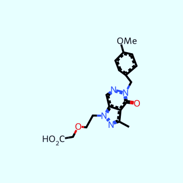 COc1ccc(Cn2ncc3c(c(C)nn3CCOCC(=O)O)c2=O)cc1